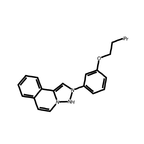 CC(C)CCOc1cccc(N2C=C3c4ccccc4C=CN3N2)c1